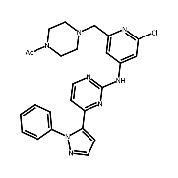 CC(=O)N1CCN(Cc2cc(Nc3nccc(-c4ccnn4-c4ccccc4)n3)cc(Cl)n2)CC1